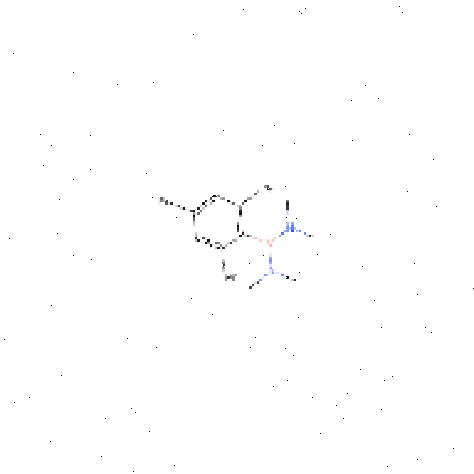 CC(C)c1cc(C(C)C)c(B(N(C)C)N(C)C)c(C(C)C)c1